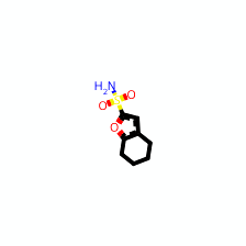 NS(=O)(=O)c1cc2c(o1)CCCC2